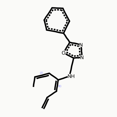 C=C/C=C(\C=C/C)Nc1nnc(-c2ccccc2)o1